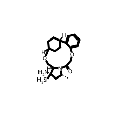 C[C@@H]1C[C@@](N)([SiH3])[C@@H]2CO[C@H]3CC[C@H](CC3)c3ccccc3OCC(=O)N12